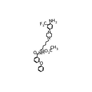 CC(=O)O.Nc1ccc(N2CCN(CCCCCCNC(=O)c3cccc(Oc4ccccc4)c3)CC2)cc1C(F)(F)F